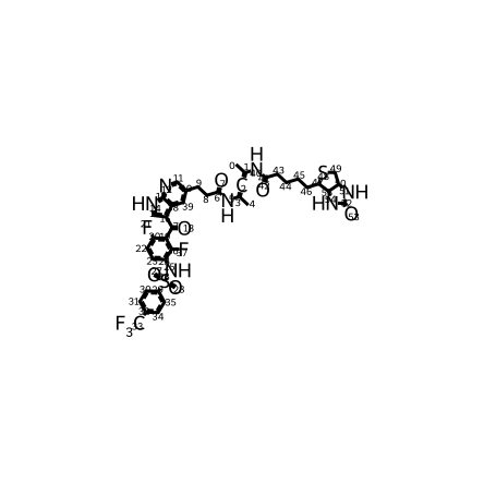 CC(=C=C(C)NC(=O)CCc1cnc2[nH]cc(C(=O)c3c(F)ccc(NS(=O)(=O)c4ccc(C(F)(F)F)cc4)c3F)c2c1)NC(=O)CCCCC1SCC2NC(=O)NC21